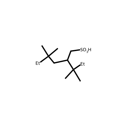 CCC(C)(C)CC(CS(=O)(=O)O)C(C)(C)CC